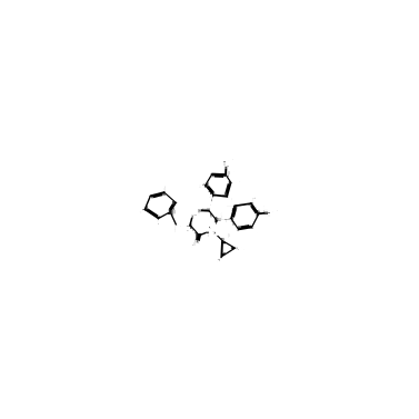 O=C1[C@H](Cc2ccccc2)O[C@@H](c2ccc(Br)cc2)[C@@H](c2ccc(Br)cc2)N1C1CC1